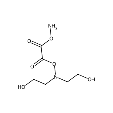 NOC(=O)C(=O)ON(CCO)CCO